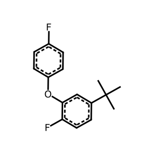 CC(C)(C)c1ccc(F)c(Oc2ccc(F)cc2)c1